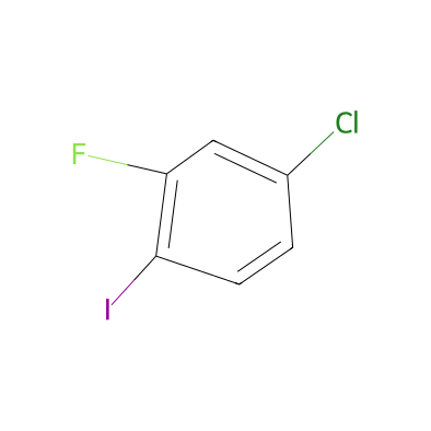 Fc1cc(Cl)ccc1I